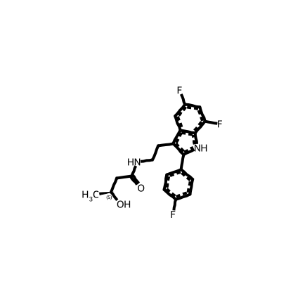 C[C@H](O)CC(=O)NCCc1c(-c2ccc(F)cc2)[nH]c2c(F)cc(F)cc12